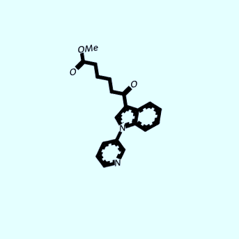 COC(=O)CCCCC(=O)c1cn(-c2cccnc2)c2ccccc12